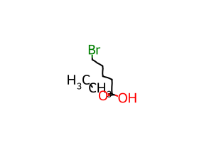 CC.O=C(O)CCCCBr